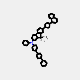 CC1(C)c2cc(-c3ccc(-c4cccc5ccccc45)cc3)ccc2-c2ccc(N(c3ccccc3)c3ccc(-c4ccc(-c5ccccc5)cc4)cc3)cc21